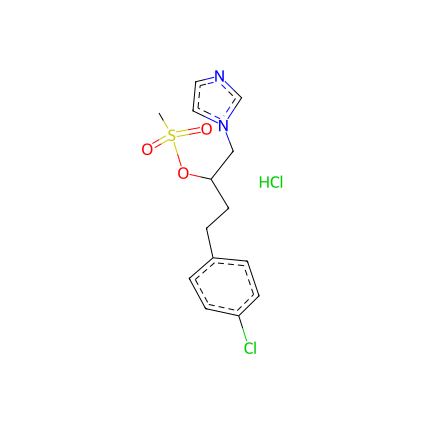 CS(=O)(=O)OC(CCc1ccc(Cl)cc1)Cn1ccnc1.Cl